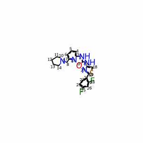 O=C(Nc1cccc(CN2CCCCC2)n1)Nc1csc(-c2ccc(F)cc2F)n1